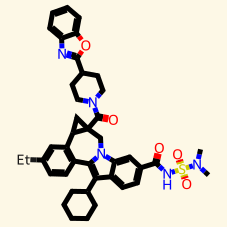 CCc1ccc2c(c1)C1CC1(C(=O)N1CCC(c3nc4ccccc4o3)CC1)Cn1c-2c(C2CCCCC2)c2ccc(C(=O)NS(=O)(=O)N(C)C)cc21